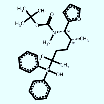 C[C@H](CCC(C)(C)[Si](O)(c1ccccc1)c1ccccc1)[C@@H](c1ccco1)N(C)C(=O)OC(C)(C)C